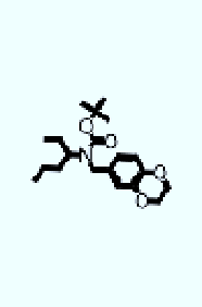 CCCC(CC)N(Cc1ccc2c(c1)OCCO2)C(=O)OC(C)(C)C